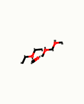 C=O.CCOCC.COCOC